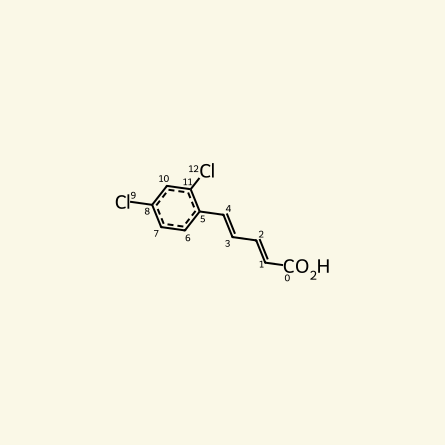 O=C(O)C=CC=Cc1ccc(Cl)cc1Cl